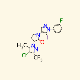 Cc1c(Cl)c(C(F)(F)F)nn1C1CCN(c2cnn(-c3cccc(F)c3)c2I)C1=O